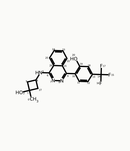 CC1(O)CC(Nc2nnc(-c3ccc(C(F)(F)F)cc3O)c3ccccc23)C1